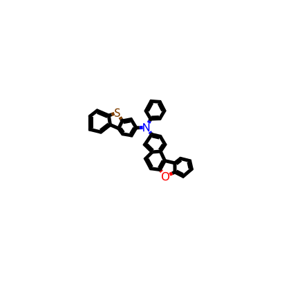 c1ccc(N(c2ccc3c(ccc4oc5ccccc5c43)c2)c2ccc3c(c2)sc2ccccc23)cc1